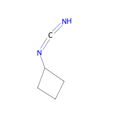 N=C=NC1CCC1